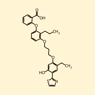 CCCc1c(OCCCOc2cc(O)c(-c3nccs3)cc2CC)cccc1Oc1ccccc1C(=O)O